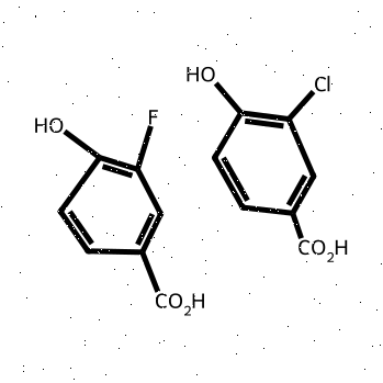 O=C(O)c1ccc(O)c(Cl)c1.O=C(O)c1ccc(O)c(F)c1